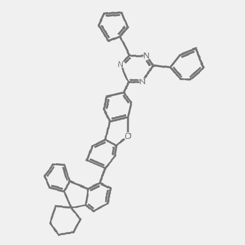 c1ccc(-c2nc(-c3ccccc3)nc(-c3ccc4c(c3)oc3cc(-c5cccc6c5-c5ccccc5C65CCCCC5)ccc34)n2)cc1